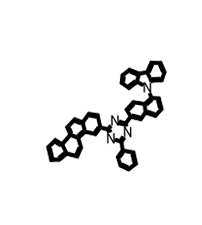 c1ccc(-c2nc(-c3ccc4c(-n5c6ccccc6c6ccccc65)cccc4c3)nc(-c3ccc4ccc5c6ccccc6ccc5c4c3)n2)cc1